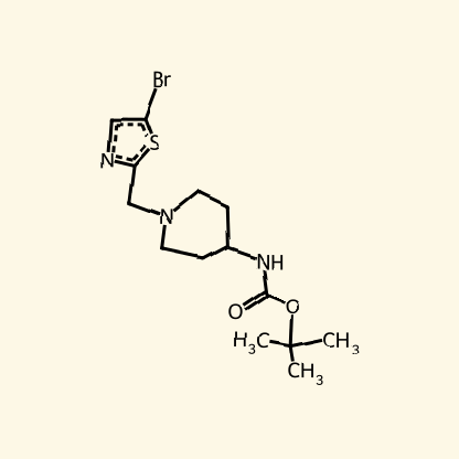 CC(C)(C)OC(=O)NC1CCN(Cc2ncc(Br)s2)CC1